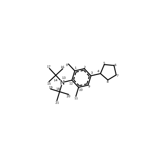 Cc1cc(C2CCCC2)cc(C)c1N(C(C)(C)C)C(C)(C)C